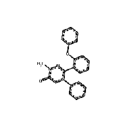 Cn1nc(-c2ccccc2Oc2ccccc2)c(-c2cc[c]cc2)cc1=O